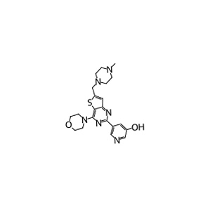 CN1CCN(Cc2cc3nc(-c4cncc(O)c4)nc(N4CCOCC4)c3s2)CC1